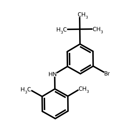 Cc1cccc(C)c1Nc1cc(Br)cc(C(C)(C)C)c1